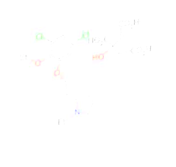 CCOc1c(Cl)cc(Cl)cc1OCCC1CCCN1CC.O=C(O)CC(O)(CC(=O)O)C(=O)O